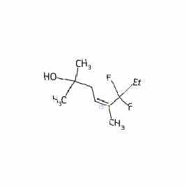 CCC(F)(F)/C(C)=C\CC(C)(C)O